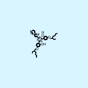 CCCCC(CC)COc1ccc(-c2nc(-c3ccc(OCC(CC)CCCC)cc3O)nc(-c3cccn3C)n2)c(O)c1.c1cnnnc1